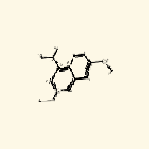 CCc1cc2cc(OC)ccc2c(C(C)C)n1